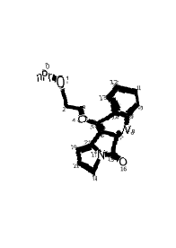 CCCOCCOc1c2c(nc3ccccc13)C(=O)n1cccc1-2